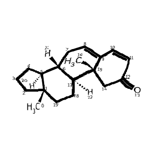 C[C@@]12CCC[C@H]1[C@@H]1CC=C3C=CC(=O)C[C@]3(C)[C@H]1CC2